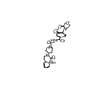 O=C(NCC(=O)N1CCC(N2CCC3C=CC=CC3NC2=O)CC1)c1ccc(N2CCOCC2=O)c(Cl)c1